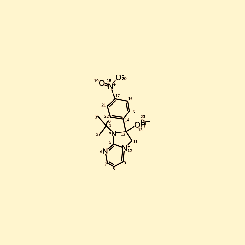 CC(C)(C)N1c2nccc[n+]2CC1(O)c1ccc([N+](=O)[O-])cc1.[Br-]